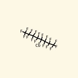 FC(F)(F)C(F)(F)C(F)(F)C(F)(F)C(F)(F)C(F)(F)C(F)(F)C(F)(F)F.[Cu]